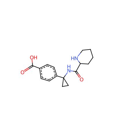 O=C(O)c1ccc(C2(NC(=O)C3CCCCN3)CC2)cc1